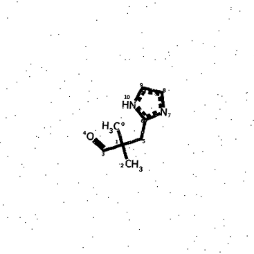 CC(C)([C]=O)Cc1ncc[nH]1